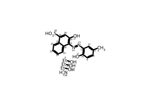 CCO.CCO.CCO.Cc1ccc(O)c(N=Nc2c(O)cc(S(=O)(=O)O)c3ccccc23)c1.N